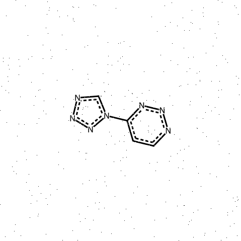 [c]1nnnn1-c1ccnnn1